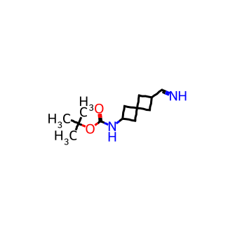 CC(C)(C)OC(=O)NC1CC2(CC(C=N)C2)C1